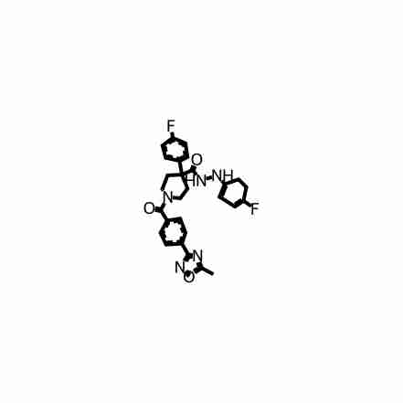 Cc1nc(-c2ccc(C(=O)N3CCC(C(=O)NNC4=CC=C(F)CC4)(c4ccc(F)cc4)CC3)cc2)no1